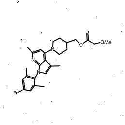 COCC(=O)OCC1CCN(c2cc(C)nc3c2c(C)cn3-c2c(C)cc(Br)cc2C)CC1